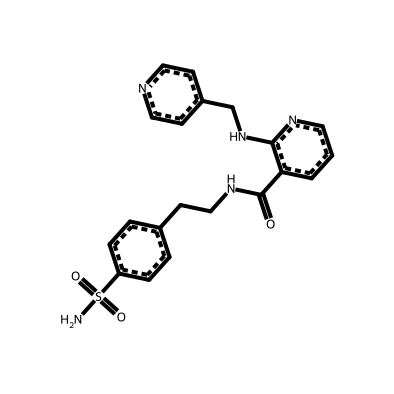 NS(=O)(=O)c1ccc(CCNC(=O)c2cccnc2NCc2ccncc2)cc1